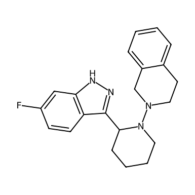 Fc1ccc2c(C3CCCCN3N3CCc4ccccc4C3)n[nH]c2c1